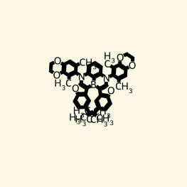 Cc1cc2c(c(C)c1N1c3cccc4c3B(c3c1oc1ccc(C(C)(C)C)cc31)c1c(oc3ccc(C(C)(C)C)cc13)N4c1c(C)cc3c(c1C)OCCO3)OCCO2